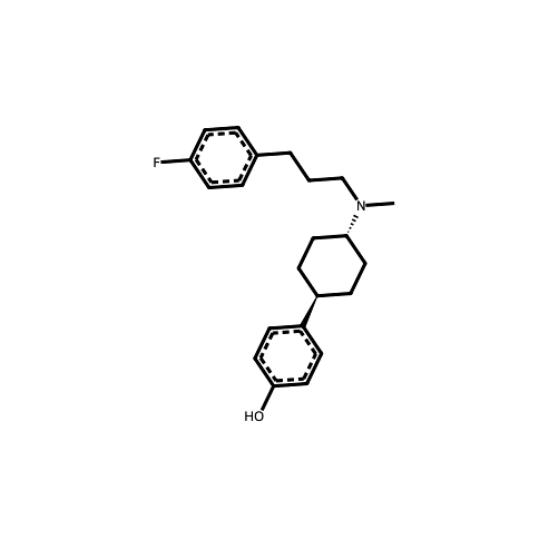 CN(CCCc1ccc(F)cc1)[C@H]1CC[C@H](c2ccc(O)cc2)CC1